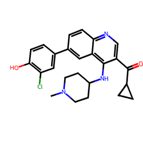 CN1CCC(Nc2c(C(=O)C3CC3)cnc3ccc(-c4ccc(O)c(Cl)c4)cc23)CC1